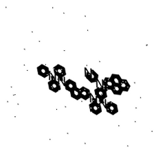 c1ccc(N2c3ccccc3N(c3ccc4c(ccc5cc(-n6c7ccccc7n(-c7ccccc7)c7cc8c9c%10ccc%11cccc%12ccc(cc9n(-c9ccncc9)c8cc76)c%10c%12%11)ccc54)c3)c3ccccc32)cc1